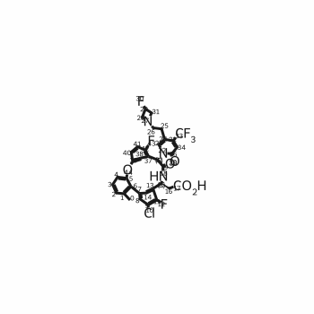 Cc1cccc2c1-c1cc(Cl)c(F)c(c1)[C@H](CC(=O)O)NC(=O)[C@@H](n1cc(CCN3CC(F)C3)c(C(F)(F)F)cc1=O)c1cc(ccc1F)O2